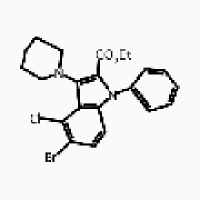 CCOC(=O)c1c(N2CCCCC2)c2c(Cl)c(Br)ccc2n1-c1ccccc1